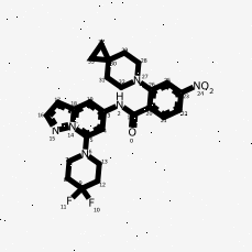 O=C(Nc1cc(N2CCC(F)(F)CC2)n2nccc2c1)c1ccc([N+](=O)[O-])cc1N1CCC2(CC1)CC2